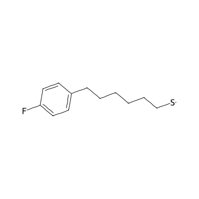 Fc1ccc(CCCCCC[S])cc1